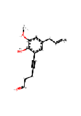 C=CCc1cc(C#CCCC=O)c(O)c(OC)c1